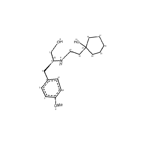 COc1ccc(C[C@@H](CO)NCCC2(O)CCCCC2)cc1